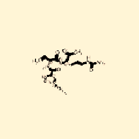 C=C[C@H](NC(=O)[C@H](CNC)NC)C(=O)N[C@@H](CCCNC(N)=O)C(C)=O